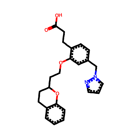 O=C(O)CCc1ccc(Cn2cccn2)cc1OCCC1CCc2ccccc2O1